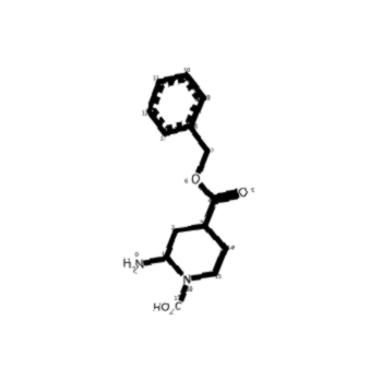 NC1CC(C(=O)OCc2ccccc2)CCN1C(=O)O